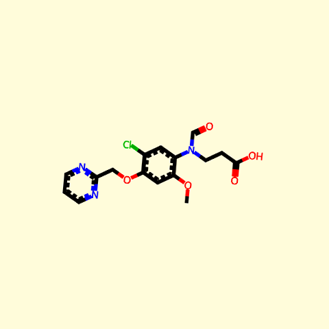 COc1cc(OCc2ncccn2)c(Cl)cc1N(C=O)CCC(=O)O